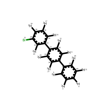 [2H]c1c([2H])c([2H])c(-c2c([2H])c([2H])c(-c3c([2H])c([2H])c([2H])c(Br)c3[2H])c([2H])c2[2H])c([2H])c1[2H]